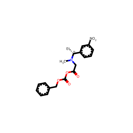 CC[C@H](c1cccc([N+](=O)[O-])c1)N(C)CC(=O)OC(=O)OCc1ccccc1